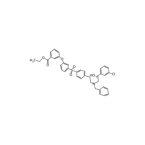 CCOC(=O)c1cccc(Oc2cccc(S(=O)(=O)c3ccc(CCN(Cc4ccccc4)C[C@H](O)c4cccc(Cl)c4)cc3)c2)c1